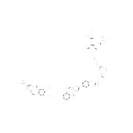 COc1cc2c(cc1OCCCOc1cc3c(cc1OC)C(=O)N1C=C(C4CC4)C[C@@H]1C=N3)N=C[C@H]1CC(c3ccc(NC(=O)[C@@H](C)NC(=O)[C@H](NC(=O)CCCCCN4C(=O)C(SC(=O)[C@@H](N)CS)=C(SC(=O)[C@@H](N)CS)C4=O)C(C)C)cc3)=CN1C2=O